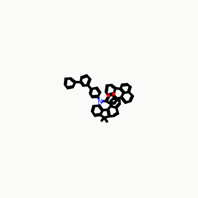 CC1(C)c2cccc(N(c3ccc(-c4cccc(-c5ccccc5)c4)cc3)c3ccc(-c4cccc5cccc(-c6ccccc6)c45)cc3)c2-c2c1ccc1ccccc21